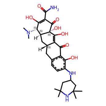 CN(C)[C@@H]1C(O)=C(C(N)=O)C(=O)[C@@]2(O)C(O)=C3C(=O)c4c(ccc(NC5CC(C)(C)NC(C)(C)C5)c4O)C[C@@H]3C[C@@H]12